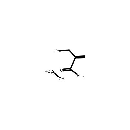 C=C(CC(C)C)C(N)=O.O=S(=O)(O)O